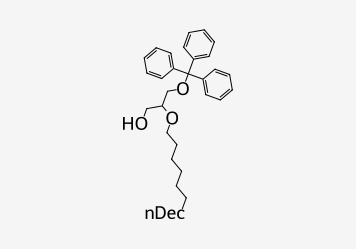 CCCCCCCCCCCCCCCCOC(CO)COC(c1ccccc1)(c1ccccc1)c1ccccc1